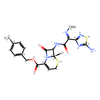 CON=C(C(=O)NC1C(=O)N2C(C(=O)OCc3ccc([N+](=O)[O-])cc3)=CCS[C@@H]12)c1nsc(N)n1